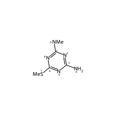 CNc1nc(N)nc(SC)n1